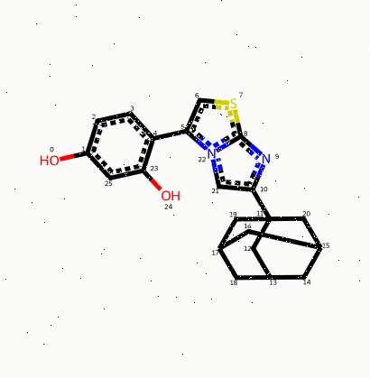 Oc1ccc(-c2csc3nc(C45CC6CC(CC(C6)C4)C5)cn23)c(O)c1